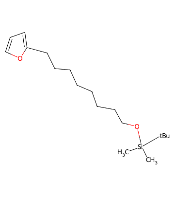 CC(C)(C)[Si](C)(C)OCCCCCCCCc1ccco1